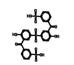 O=C(c1cccc(S(=O)(=O)O)c1)c1cc(S(=O)(=O)c2ccc(O)c(C(=O)c3cccc(S(=O)(=O)O)c3)c2)ccc1O